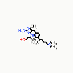 CCCC(CCO)Nc1nc(N)nc(C)c1Cc1ccc(C(CCCCN(C)C)C(=O)O)cc1